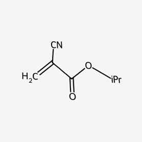 C=C(C#N)C(=O)OC(C)C